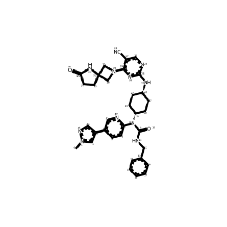 Cn1cc(-c2ccc(N(C(=O)NCc3ccccc3)[C@H]3CC[C@H](Nc4ncc(C#N)c(N5CC6(CCC(=O)N6)C5)n4)CC3)nc2)cn1